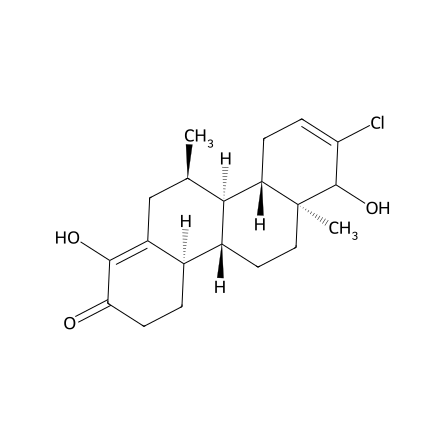 C[C@@H]1CC2=C(O)C(=O)CC[C@@H]2[C@H]2CC[C@]3(C)C(O)C(Cl)=CC[C@H]3[C@@H]21